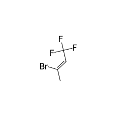 CC(Br)=CC(F)(F)F